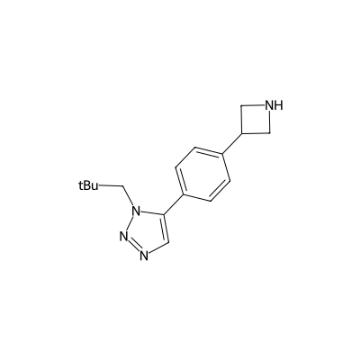 CC(C)(C)Cn1nncc1-c1ccc(C2CNC2)cc1